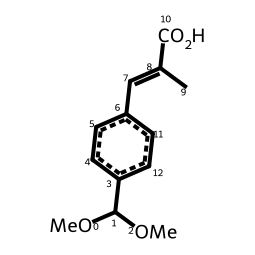 COC(OC)c1ccc(C=C(C)C(=O)O)cc1